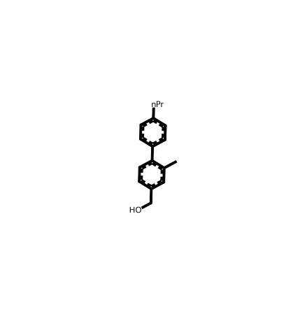 CCCc1ccc(-c2ccc(CO)cc2C)cc1